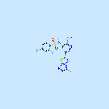 COc1ncc(-c2nn3c(C)cnc3s2)cc1NS(=O)(=O)c1ccc(F)cc1F